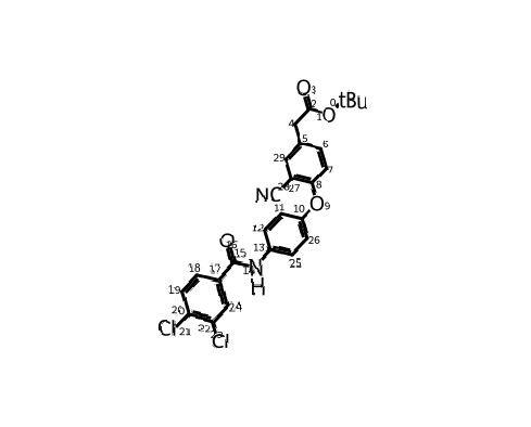 CC(C)(C)OC(=O)Cc1ccc(Oc2ccc(NC(=O)c3ccc(Cl)c(Cl)c3)cc2)c(C#N)c1